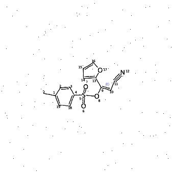 Cc1ccc(S(=O)(=O)O/C(=C/C#N)c2ccco2)cc1